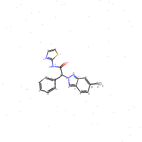 O=C(Nc1nccs1)C(c1ccccc1)n1cc2ccc([N+](=O)[O-])cc2n1